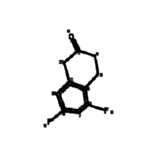 O=C1CCc2c(F)cc(F)cc2C1